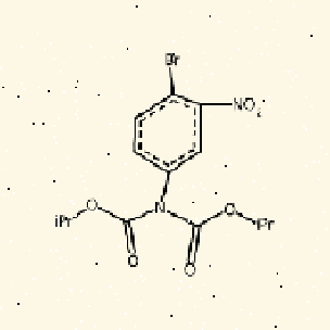 CC(C)OC(=O)N(C(=O)OC(C)C)c1ccc(Br)c([N+](=O)[O-])c1